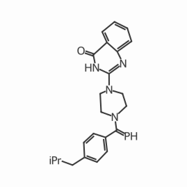 CC(C)Cc1ccc(C(=P)N2CCN(c3nc4ccccc4c(=O)[nH]3)CC2)cc1